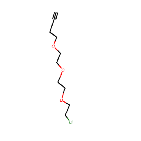 C#CCCOCCOCCOCCCl